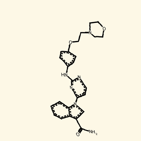 NC(=O)c1cn(-c2ccnc(Nc3ccc(OCCN4CCOCC4)cc3)n2)c2ccccc12